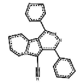 N#Cc1c2c(-c3ccccc3)nnc(-c3ccccc3)c2c2ccccn12